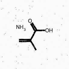 C=C(C)C(=O)O.N